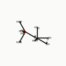 O=C(O)CCCCCCCCCCCCC(CCCCCCCCCCCCC(=O)O)(CCCCCCCCCCCCC(=O)OCC(CO)(CCO)C(CCCCCCCCCCCC(=O)O)(CCCCCCCCCCCC(=O)O)CCCCCCCCCCCC(=O)O)C(CO)(CO)CCO